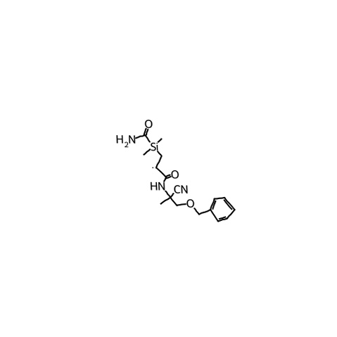 CC(C#N)(COCc1ccccc1)NC(=O)[CH]C[Si](C)(C)C(N)=O